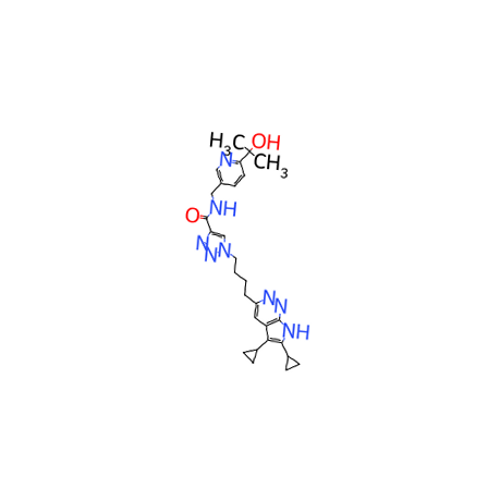 CC(C)(O)c1ccc(CNC(=O)c2cn(CCCCc3cc4c(C5CC5)c(C5CC5)[nH]c4nn3)nn2)cn1